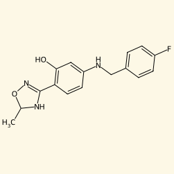 CC1NC(c2ccc(NCc3ccc(F)cc3)cc2O)=NO1